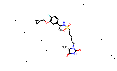 CC(NS(=O)(=O)CCCCCN1C(=O)NC(=O)[C@@H]1C)c1ccc(F)c(OCC2CC2)c1